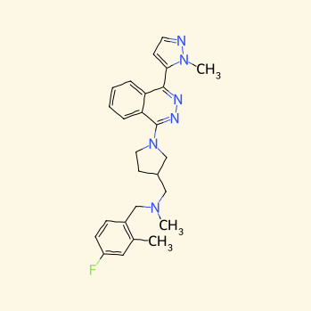 Cc1cc(F)ccc1CN(C)CC1CCN(c2nnc(-c3ccnn3C)c3ccccc23)C1